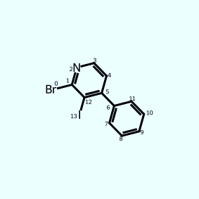 Brc1nccc(-c2ccccc2)c1I